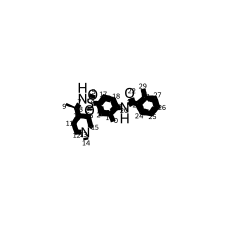 Cc1cc(S(=O)(=O)N[C@H](C)C2CCN(C)CC2)ccc1NC(=O)c1ccccc1C